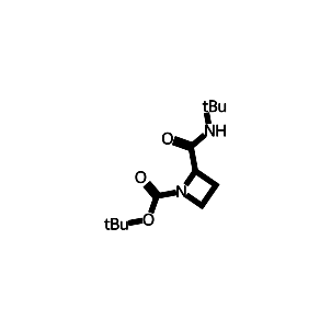 CC(C)(C)NC(=O)C1CCN1C(=O)OC(C)(C)C